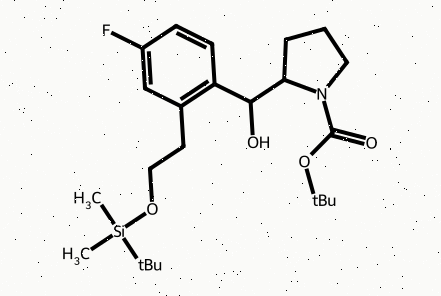 CC(C)(C)OC(=O)N1CCCC1C(O)c1ccc(F)cc1CCO[Si](C)(C)C(C)(C)C